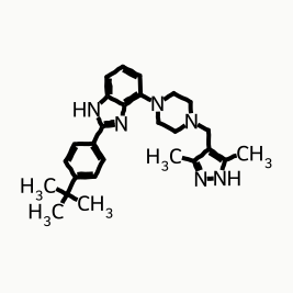 Cc1n[nH]c(C)c1CN1CCN(c2cccc3[nH]c(-c4ccc(C(C)(C)C)cc4)nc23)CC1